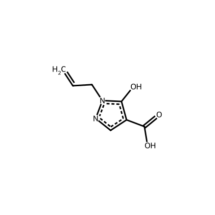 C=CCn1ncc(C(=O)O)c1O